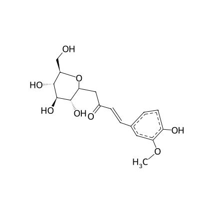 COc1cc(/C=C/C(=O)CC2O[C@H](CO)[C@@H](O)[C@H](O)[C@H]2O)ccc1O